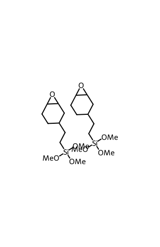 CO[Si](CCC1CCC2OC2C1)(OC)OC.CO[Si](CCC1CCC2OC2C1)(OC)OC